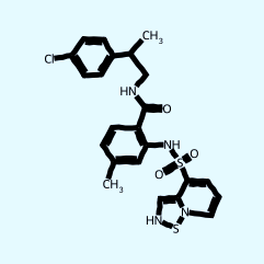 Cc1ccc(C(=O)NCC(C)c2ccc(Cl)cc2)c(NS(=O)(=O)C2=CC=CN3SNC=C23)c1